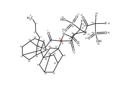 CCCCC1(OC(=O)COC(=O)C(F)(F)S(=O)(=O)O)C2CC3CC1CC(C2)C3C12CC3CC(CC(OC(=O)COC(=O)C(F)(F)S(=O)(=O)O)(C3)C1)C2